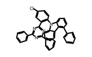 Clc1ccc(-n2c3ccccc3c3c(-c4ccccc4)cccc32)c(-c2nc(-c3ccccc3)nc(-c3ccccc3)n2)c1